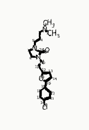 CN(C)CCCN1CCN(N=Cc2ccc(-c3ccc(Cl)cc3)o2)C1=O